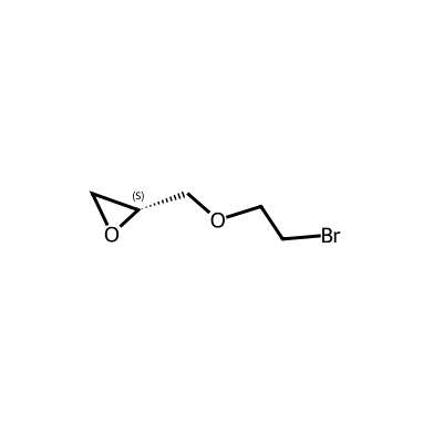 BrCCOC[C@H]1CO1